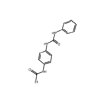 CCC(=O)Nc1ccc(NC(=O)Nc2ccccc2)cc1